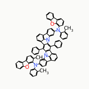 Cc1ccccc1N(c1ccc2c3cccc4c5c(-c6ccccc6)c6c(c(-c7ccccc7)c5n(c2c1)c34)c1cccc2c3ccc(N(c4ccccc4C)c4c(C)ccc5c4oc4ccccc45)cc3n6c21)c1cccc2c1oc1ccccc12